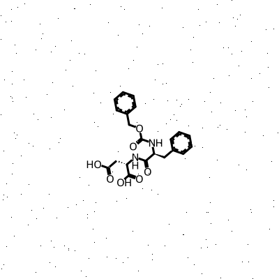 O=C(O)C[C@H](NC(=O)[C@H](Cc1ccccc1)NC(=O)OCc1ccccc1)C(=O)O